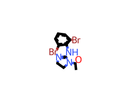 CC(=O)N1CCN=C1Nc1c(Br)cccc1Br